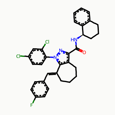 O=C(N[C@@H]1CCCc2ccccc21)c1nn(-c2ccc(Cl)cc2Cl)c2c1CCCC/C2=C\c1ccc(F)cc1